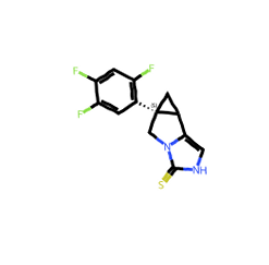 Fc1cc(F)c([C@]23CC2c2c[nH]c(=S)n2C3)cc1F